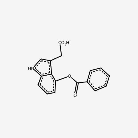 O=C(O)Cc1c[nH]c2cccc(OC(=O)c3ccccc3)c12